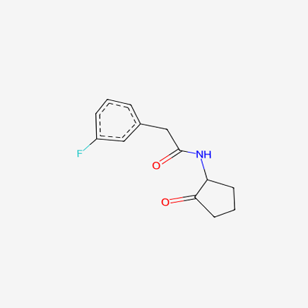 O=C(Cc1cccc(F)c1)NC1CCCC1=O